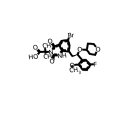 COc1ccc(F)cc1[C@@H](Cc1cc(Br)cc2c(=O)n(C(C)(C)C(=O)O)c(=O)[nH]c12)OC1CCOCC1